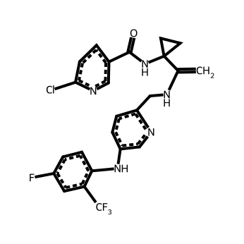 C=C(NCc1ccc(Nc2ccc(F)cc2C(F)(F)F)cn1)C1(NC(=O)c2ccc(Cl)nc2)CC1